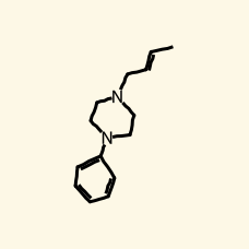 C/C=C/CN1CCN(c2ccccc2)CC1